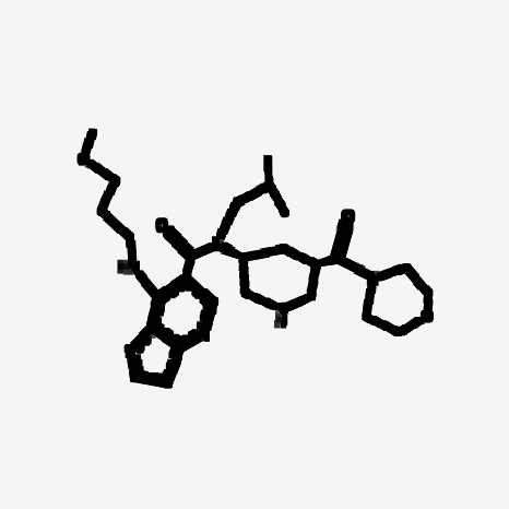 COCCCNc1c(C(=O)N(CC(C)C)[C@@H]2CNC[C@H](C(=O)N3CCOCC3)C2)cnc2ccsc12